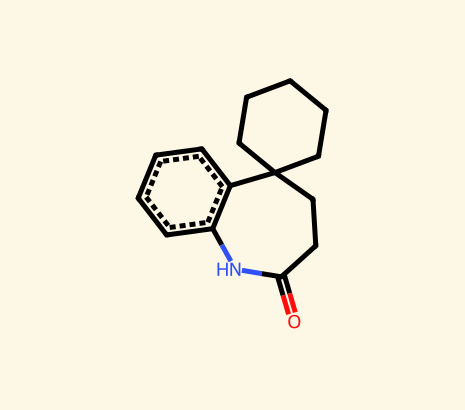 O=C1CCC2(CCCCC2)c2ccccc2N1